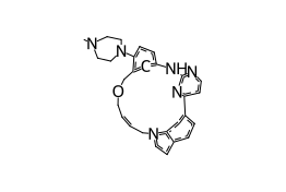 CN1CCN(c2ccc3cc2COC/C=C\Cn2ccc4ccc(cc42)-c2ccnc(n2)N3)CC1